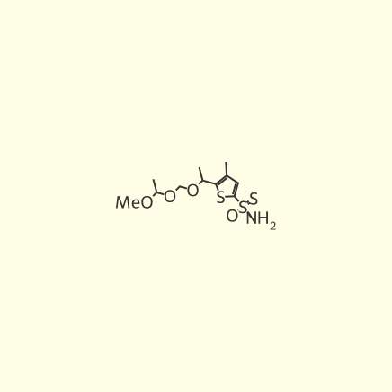 COC(C)OCOC(C)c1sc(S(N)(=O)=S)cc1C